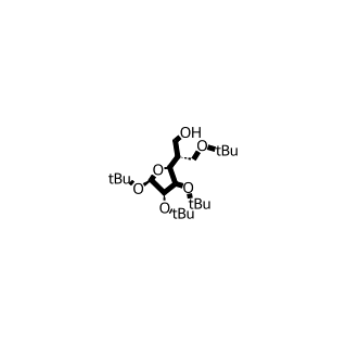 CC(C)(C)OC[C@@H](CO)[C@H]1O[C@H](OC(C)(C)C)[C@@H](OC(C)(C)C)C1OC(C)(C)C